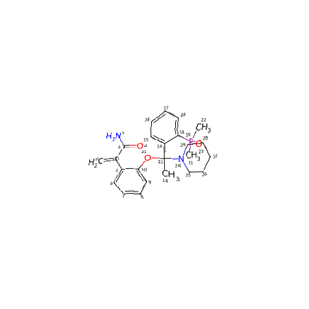 C=C(C(N)=O)c1ccccc1OC(C)(c1ccccc1P(C)(C)=O)N1CCCCC1